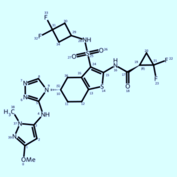 COc1cc(Nc2nncn2[C@H]2CCc3sc(NC(=O)[C@H]4CC4(F)F)c(S(=O)(=O)NC4CC(F)(F)C4)c3C2)n(C)n1